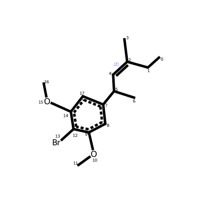 CC/C(C)=C\C(C)c1cc(OC)c(Br)c(OC)c1